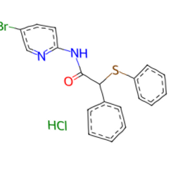 Cl.O=C(Nc1ccc(Br)cn1)C(Sc1ccccc1)c1ccccc1